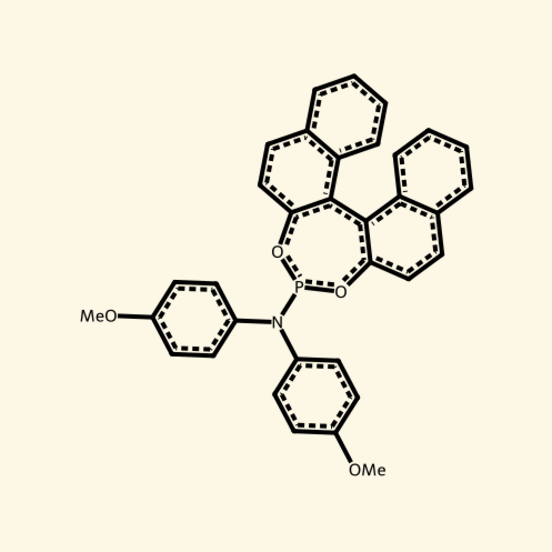 COc1ccc(N(c2ccc(OC)cc2)p2oc3ccc4ccccc4c3c3c(ccc4ccccc43)o2)cc1